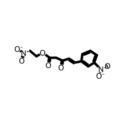 O=C(C=Cc1cccc([N+](=O)[O-])c1)CC(=O)OCC[N+](=O)[O-]